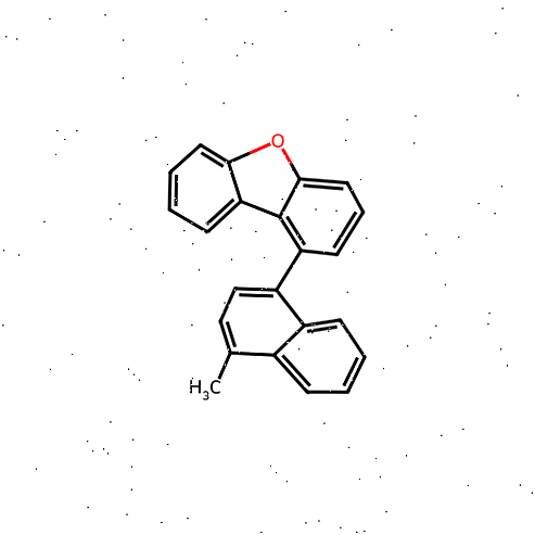 Cc1ccc(-c2cccc3oc4ccccc4c23)c2ccccc12